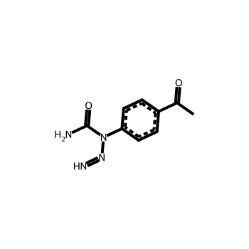 CC(=O)c1ccc(N(N=N)C(N)=O)cc1